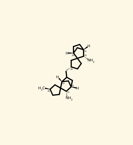 C[C@@H]1CCC2(C1)[C@H]1C[C@H](CC1C[C@H]1CCC3(C1)[C@@H]1CC[C@@H](C1)[C@@H]3N)[C@@H]2N